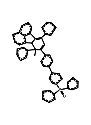 CC1(c2ccccc2)C(c2ccc(-c3ccc(P(=O)(c4ccccc4)c4ccccc4)cc3)cc2)=CC(c2ccccc2)=C2c3cccc4cccc(c34)C21